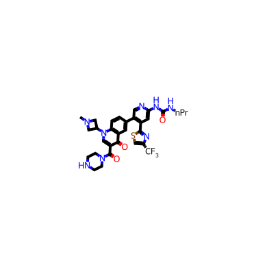 CCCNC(=O)Nc1cc(-c2nc(C(F)(F)F)cs2)c(-c2ccc3c(c2)c(=O)c(C(=O)N2CCNCC2)cn3C2CN(C)C2)cn1